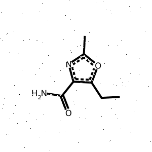 CCc1oc(C)nc1C(N)=O